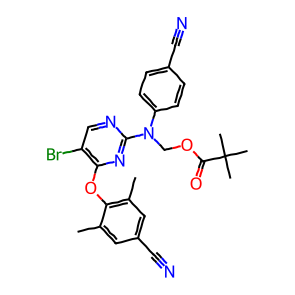 Cc1cc(C#N)cc(C)c1Oc1nc(N(COC(=O)C(C)(C)C)c2ccc(C#N)cc2)ncc1Br